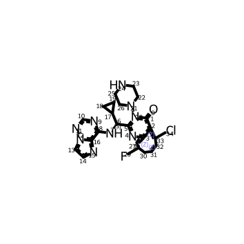 O=c1c2/c(nc([C@@H](Nc3ncnn4ccnc34)C3CC3)n1N1CCNCC1)=C/C(F)C/C=C\C=2Cl